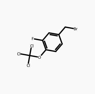 Fc1cc(CBr)ccc1OC(Cl)(Cl)Cl